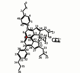 CCCc1ccc(-c2cccc3c2C=C(CC(C)C)[CH]3[Zr+2]2([CH]3C(CC(C)C)=Cc4c(-c5ccc(CCC)cc5)cccc43)[CH2][CH2]2)cc1.[Cl-].[Cl-]